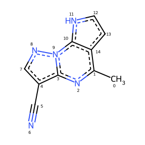 Cc1nc2c(C#N)cnn2c2[nH]ccc12